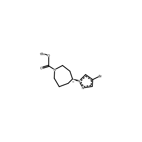 CC(C)(C)OC(=O)N1CCC[C@H](n2cc(Br)cn2)CC1